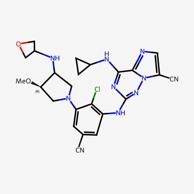 CO[C@@H]1CN(c2cc(C#N)cc(Nc3nc(NC4CC4)c4ncc(C#N)n4n3)c2Cl)CC1NC1COC1